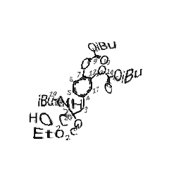 CCOC(=O)O[C@](Cc1ccc(OC(=O)OCC(C)C)c(OC(=O)OCC(C)C)c1)(NC(C)CC)C(=O)O